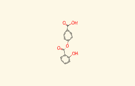 O=C(O)c1ccc(OC(=O)c2ccccc2O)cc1